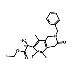 CCOC(=O)[C@@H](O)c1c(C)c2c(c(C)c1I)CC(=O)N(Cc1ccccc1)C2